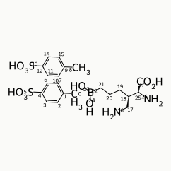 Cc1ccc(S(=O)(=O)O)cc1.Cc1ccc(S(=O)(=O)O)cc1.NC[C@@H](CCCB(O)O)[C@H](N)C(=O)O